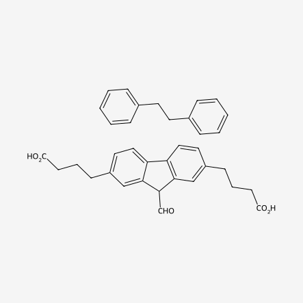 O=CC1c2cc(CCCC(=O)O)ccc2-c2ccc(CCCC(=O)O)cc21.c1ccc(CCc2ccccc2)cc1